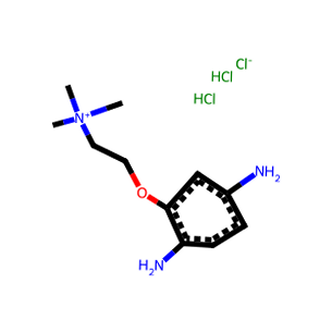 C[N+](C)(C)CCOc1cc(N)ccc1N.Cl.Cl.[Cl-]